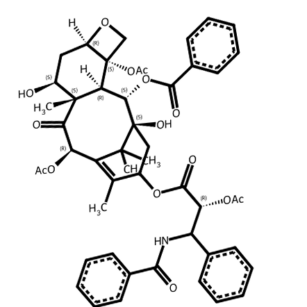 CC(=O)O[C@H]1C(=O)[C@@]2(C)[C@H]([C@H](OC(=O)c3ccccc3)[C@]3(O)CC(OC(=O)[C@H](OC(C)=O)C(NC(=O)c4ccccc4)c4ccccc4)C(C)=C1C3(C)C)[C@]1(OC(C)=O)CO[C@@H]1C[C@@H]2O